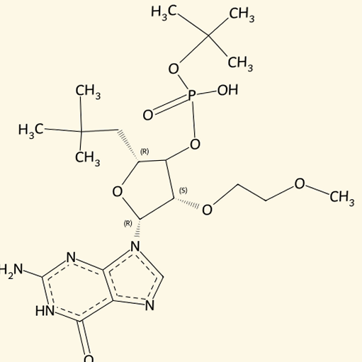 COCCO[C@H]1C(OP(=O)(O)OC(C)(C)C)[C@@H](CC(C)(C)C)O[C@H]1n1cnc2c(=O)[nH]c(N)nc21